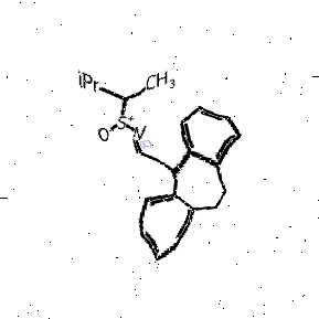 CC(C)C(C)[S+]([O-])/N=C/C1c2ccccc2CCc2ccccc21